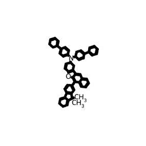 CC1(C)C2=CCCC=C2c2ccc(-c3c4ccccc4cc4c5c(oc34)C=CC(N(c3ccc(C4=CC=CCC4)cc3)C3C=CC(c4ccccc4)=CC3)C5)cc21